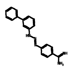 N=C(N)c1ccc(/N=N/Nc2cccc(-c3ccccc3)c2)cc1